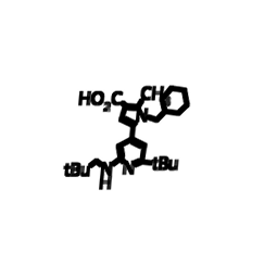 Cc1c(C(=O)O)cc(-c2cc(NCC(C)(C)C)nc(C(C)(C)C)c2)n1CC1CCCCC1